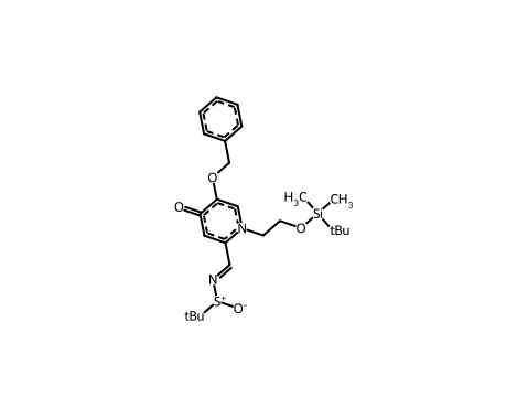 CC(C)(C)[S+]([O-])/N=C/c1cc(=O)c(OCc2ccccc2)cn1CCO[Si](C)(C)C(C)(C)C